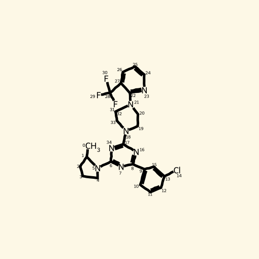 CC1CCCN1c1nc(-c2cccc(Cl)c2)nc(N2CCN(c3ncccc3C(F)(F)F)CC2)n1